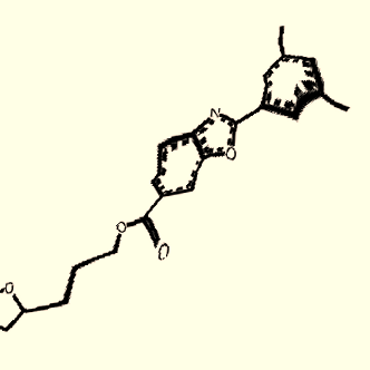 Cc1cc(C)cc(-c2nc3ccc(C(=O)OCCCC4CCCO4)cc3o2)c1